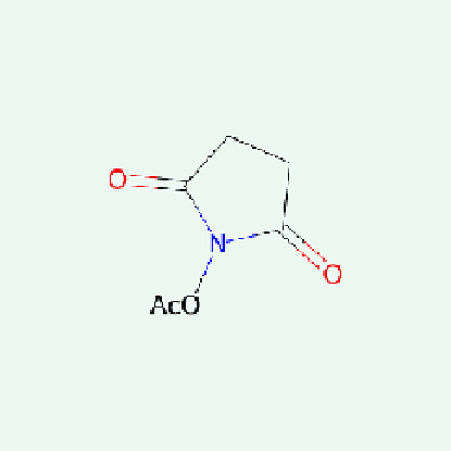 [CH2]C(=O)ON1C(=O)CCC1=O